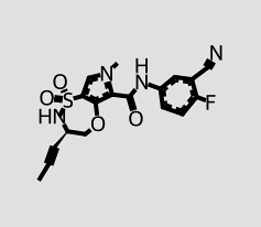 CC#C[C@@H]1COc2c(cn(C)c2C(=O)Nc2ccc(F)c(C#N)c2)S(=O)(=O)N1